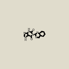 O=c1[nH]c2nc[nH]c2c(=O)n1-c1ncc2ccccc2n1